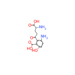 Nc1ccc(O)c(C(=O)O)c1C(=O)CCC(N)C(=O)O